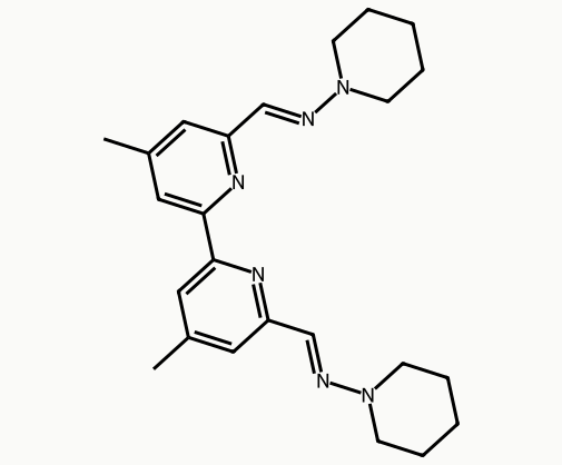 Cc1cc(C=NN2CCCCC2)nc(-c2cc(C)cc(C=NN3CCCCC3)n2)c1